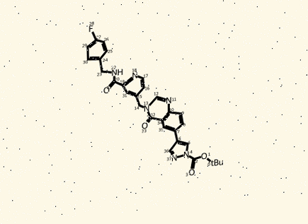 CC(C)(C)OC(=O)n1cc(-c2ccc3ncn(Cc4ccnc(C(=O)NCc5ccc(F)cc5)c4)c(=O)c3c2)cn1